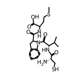 CSCCC(NC(=O)C1Cc2ccccc2N1C(=O)[C@@H](NC(=O)[C@@H](N)CS)C(C)C)C(=O)O